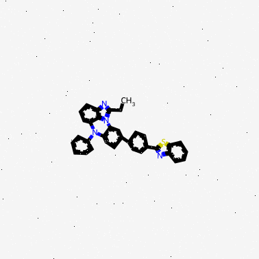 CCc1nc2cccc3c2n1-c1cc(-c2ccc(-c4nc5ccccc5s4)cc2)ccc1N3c1ccccc1